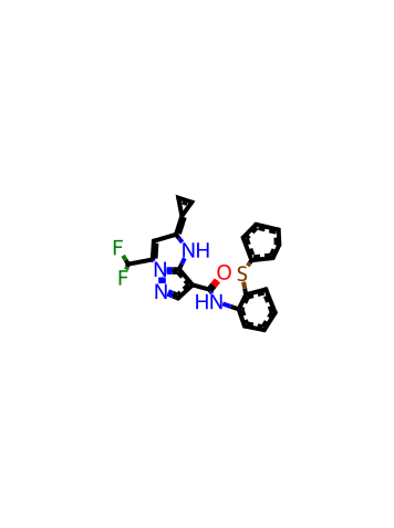 O=C(Nc1ccccc1Sc1ccccc1)c1cnn2c1NC(=C1C=C1)C=C2C(F)F